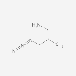 CC(CN)CN=[N+]=[N-]